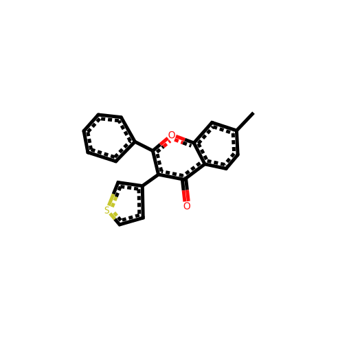 Cc1ccc2c(=O)c(-c3ccsc3)c(-c3ccccc3)oc2c1